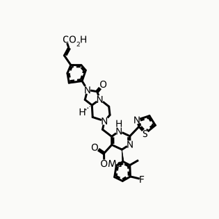 COC(=O)C1=C(CN2CCN3C(=O)N(c4ccc(/C=C/C(=O)O)cc4)C[C@@H]3C2)NC(c2nccs2)=N[C@H]1c1cccc(F)c1C